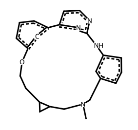 CN1Cc2cccc(c2)Nc2nccc(n2)-c2cccc(c2)OCCC2CC2C1